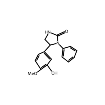 COc1ccc(C2CNC(=O)N2c2ccccc2)cc1O